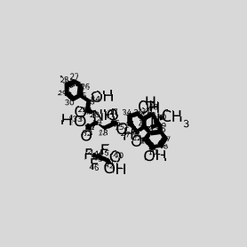 CN1CC[C@]23c4c5ccc(O)c4O[C@H]2C(OC(=O)C[C@H](NC(=O)[C@@H](O)c2ccccc2)C(=O)O)=CC[C@@]3(O)[C@H]1C5.O=C(O)C(F)(F)F